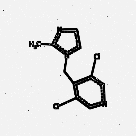 Cc1nccn1Cc1c(Cl)cncc1Cl